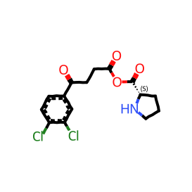 O=C(CCC(=O)c1ccc(Cl)c(Cl)c1)OC(=O)[C@@H]1CCCN1